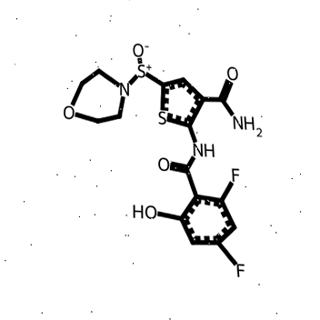 NC(=O)c1cc([S+]([O-])N2CCOCC2)sc1NC(=O)c1c(O)cc(F)cc1F